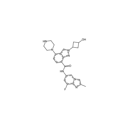 Cc1cn2cc(NC(=O)c3ccc(N4CCNCC4)c4cn(C5CC(O)C5)nc34)cc(F)c2n1